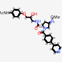 CO/N=C1\C[C@@H](C(=O)NCC(O)COc2ccc(NC(C)=O)cc2)N(C(=O)c2ccc(-c3ccncc3)cc2)C1